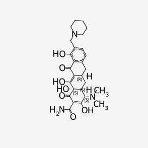 CN(C)[C@@H]1C(O)=C(C(N)=O)C(=O)[C@@]2(O)C(O)=C3C(=O)c4c(ccc(CN5CCCCC5)c4O)C[C@H]3C[C@@H]12